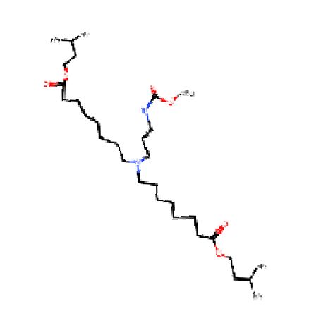 CCCC(CCC)CCOC(=O)CCCCCCCN(CCCCCCCC(=O)OCCC(CCC)CCC)CCCNC(=O)OC(C)(C)C